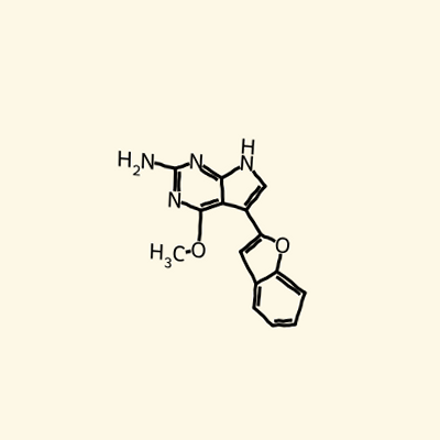 COc1nc(N)nc2[nH]cc(-c3cc4ccccc4o3)c12